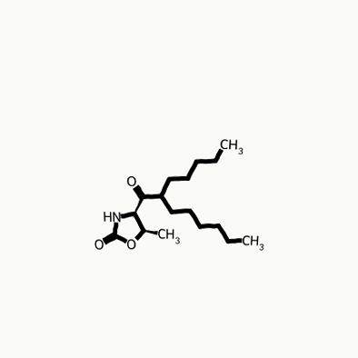 CCCCCCC(CCCCC)C(=O)[C@@H]1NC(=O)O[C@@H]1C